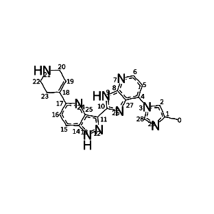 Cc1cn(-c2ccnc3[nH]c(-c4n[nH]c5ccc(C6=CCNCC6)nc45)nc23)cn1